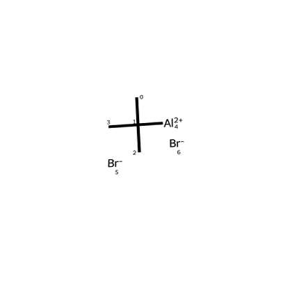 C[C](C)(C)[Al+2].[Br-].[Br-]